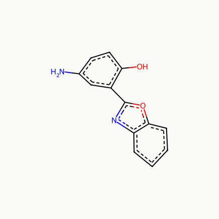 Nc1ccc(O)c(-c2nc3ccccc3o2)c1